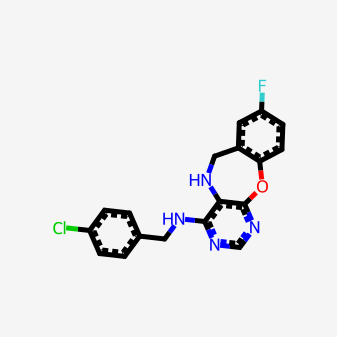 Fc1ccc2c(c1)CNc1c(NCc3ccc(Cl)cc3)ncnc1O2